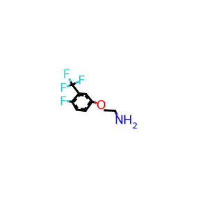 NCCOc1ccc(F)c(C(F)(F)F)c1